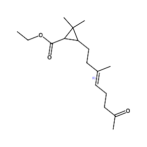 CCOC(=O)C1C(CC/C(C)=C/CCC(C)=O)C1(C)C